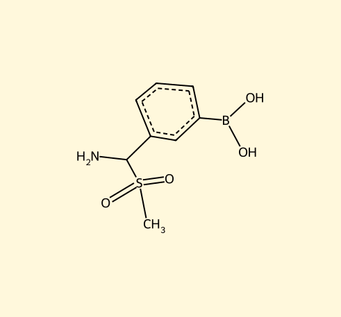 CS(=O)(=O)C(N)c1cccc(B(O)O)c1